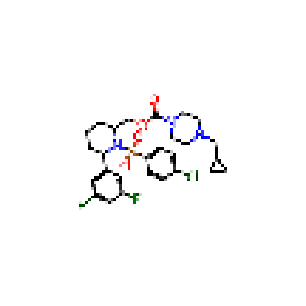 O=C(OCC1CCCC(c2cc(F)cc(F)c2)N1S(=O)(=O)c1ccc(Cl)cc1)N1CCN(CC2CC2)CC1